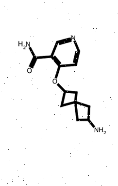 NC(=O)c1cnccc1OC1CC2(CC(N)C2)C1